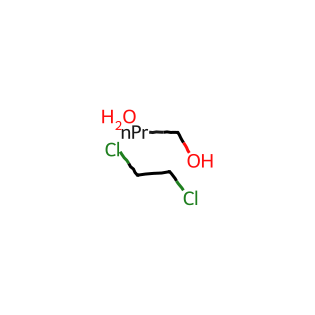 CCCCO.ClCCCl.O